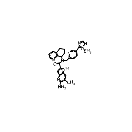 Cc1cc2[nH]c(C(=O)N(Cc3ccc(-c4ncnn4C)cn3)[C@@H]3CCCc4cccnc43)cc2nc1N